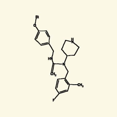 C=C(NCc1ccc(OCC)cc1)N(Cc1ccc(F)cc1C)C1CCNCC1